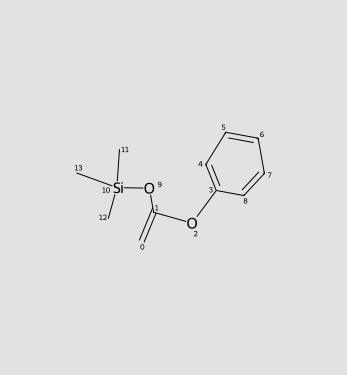 C=C(Oc1ccccc1)O[Si](C)(C)C